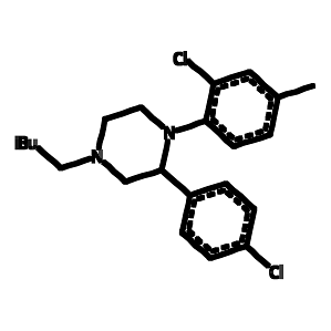 CCC(C)CN1CCN(c2ccc(C)cc2Cl)C(c2ccc(Cl)cc2)C1